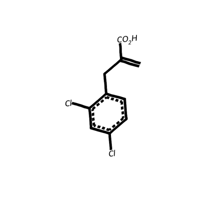 C=C(Cc1ccc(Cl)cc1Cl)C(=O)O